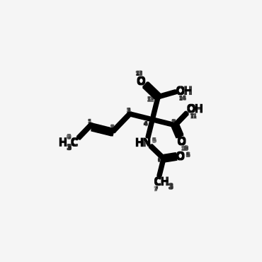 C/C=C/CC(NC(C)=O)(C(=O)O)C(=O)O